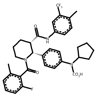 Cc1ccc(NC(=O)[C@H]2CCCN(C(=O)c3c(C)cccc3F)[C@H]2c2ccc(N(C(=O)O)C3CCCC3)cc2)cc1C(F)(F)F